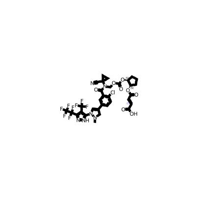 CN1CC(c2ccc(Cl)c(C(=O)N(COC(=O)O[C@H]3CCC[C@@H]3OC(=O)/C=C/C(=O)O)C3(C#N)CC3)c2)=CN1c1[nH]nc(C(F)(F)C(F)(F)F)c1C(F)(F)F